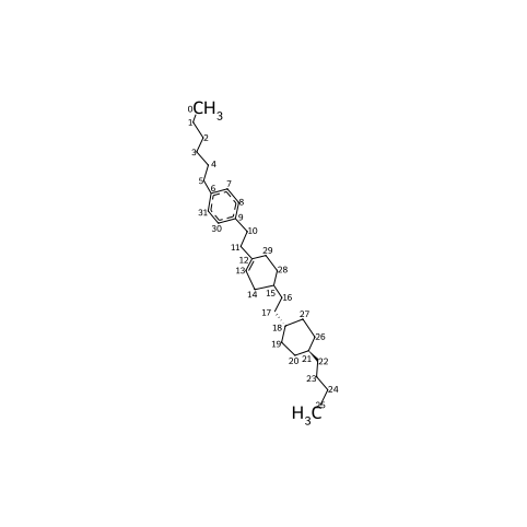 CCCCCCc1ccc(CCC2=CCC(CC[C@H]3CC[C@H](CCCC)CC3)CC2)cc1